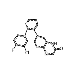 O=c1cnc2ccc(-c3cccnc3-c3ccc(F)c(Cl)c3)cc2[nH]1